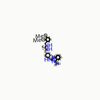 COc1cccc(CNC(=S)NC[C@H]2CC[C@@H](Nc3nc(N(C)C)c4ccccc4n3)CC2)c1OC